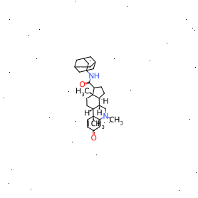 CN1C[C@@H]2[C@@H](CC[C@]3(C)C(C(=O)NC45CC6CC(CC(C6)C4)C5)CC[C@@H]23)[C@@]2(C)C=CC(=O)C=C12